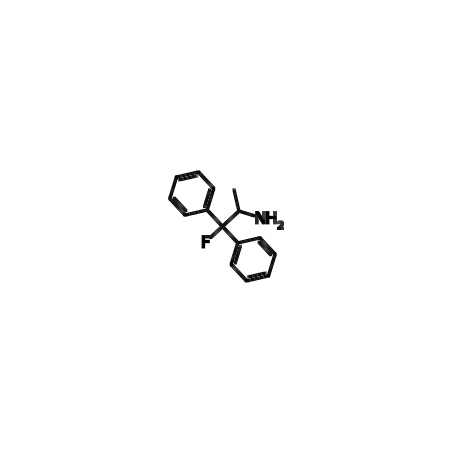 CC(N)C(F)(c1ccccc1)c1ccccc1